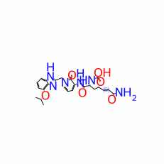 CC(C)Oc1cccc2[nH]c(Cn3cccc(NC(=O)C(CC/C=C/C(N)=O)NC(=O)O)c3=O)nc12